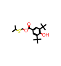 CC(C)SCOC(=O)c1cc(C(C)(C)C)c(O)c(C(C)(C)C)c1